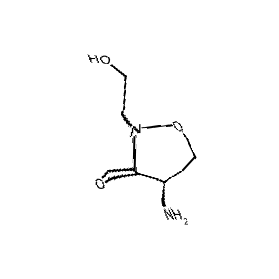 N[C@@H]1CON(CCO)C1=O